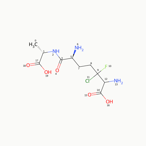 C[C@H](NC(=O)[C@@H](N)CCC(F)(Cl)C(N)C(=O)O)C(=O)O